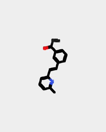 COC(=O)c1cccc(/C=C/c2cccc(C)n2)c1